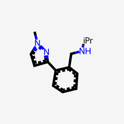 CC(C)NCc1ccccc1-c1ccn(C)n1